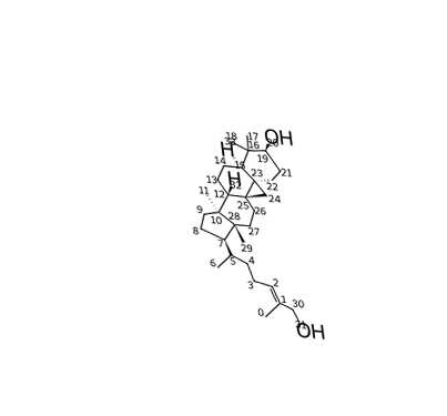 C/C(=C\CCC(C)[C@H]1CC[C@@]2(C)[C@@H]3CC[C@H]4C(C)(C)[C@@H](O)CC[C@@]45C[C@@]35CC[C@]12C)CO